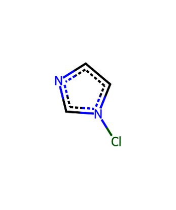 Cln1ccnc1